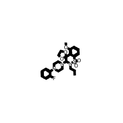 CCCN1C(N2CCN(c3ccccc3F)CC2)C2(OCCO2)c2c(OC)cccc2S1(=O)=O